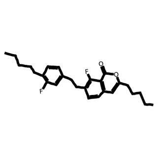 CCCCCc1cc2ccc(CCc3ccc(CCCCC)c(F)c3)c(F)c2c(=O)o1